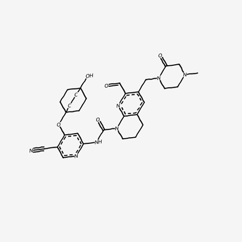 CN1CCN(Cc2cc3c(nc2C=O)N(C(=O)Nc2cc(OC45CCC(O)(CC4)CC5)c(C#N)cn2)CCC3)C(=O)C1